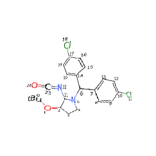 CC(C)(C)O[C@@H]1CCN(C(c2ccc(Cl)cc2)c2ccc(Cl)cc2)C1N=C=O